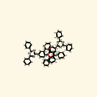 c1ccc(-c2nc(-c3ccccc3)nc(-c3ccc(-n4c5ccccc5c5cc(-c6nc(-c7ccccc7)nc(-c7ccccc7)n6)ccc54)c(-c4ncccc4-c4nc(-c5ccccc5)nc(-c5ccccc5)n4)c3)n2)cc1